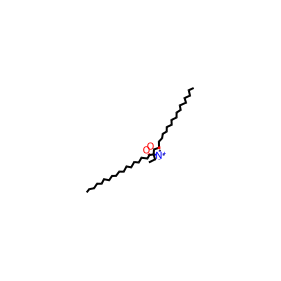 CCCCCCCCCCCCCCCCCC(=O)C(CC)(C(=O)CCCCCCCCCCCCCCCCC)[N+](C)(C)C